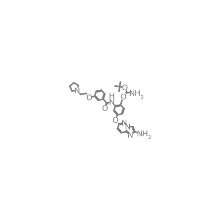 CC(C)(C)OC(N)=O.Cc1ccc(Oc2ccc3nc(N)cn3n2)cc1NC(=O)c1cccc(OCCN2CCCC2)c1